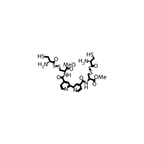 COC(=O)C(CSSC(=O)[C@@H](N)CS)NC(=O)c1ccnc(-c2cc(C(=O)NC(CSSC(=O)[C@@H](N)CS)C(=O)OC)ccn2)c1